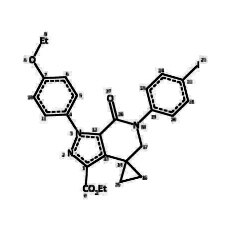 CCOC(=O)c1nn(-c2ccc(OCC)cc2)c2c1C1(CC1)CN(c1ccc(I)cc1)C2=O